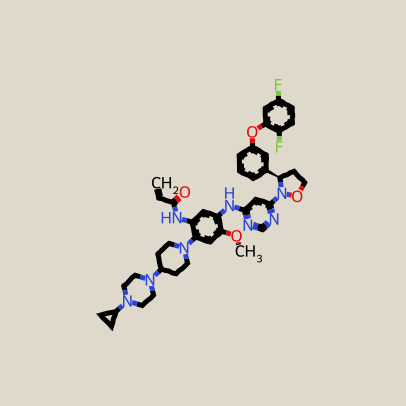 C=CC(=O)Nc1cc(Nc2cc(N3OCC[C@@H]3c3cccc(Oc4cc(F)ccc4F)c3)ncn2)c(OC)cc1N1CCC(N2CCN(C3CC3)CC2)CC1